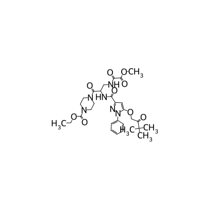 CCOC(=O)N1CCN(C(=O)C(CNC(=O)C(=O)OC)NC(=O)c2cc(OCC(=O)C(C)(C)C)n(-c3ccccc3)n2)CC1